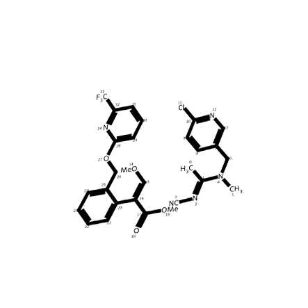 C/C(=N\C#N)N(C)Cc1ccc(Cl)nc1.CO/C=C(/C(=O)OC)c1ccccc1COc1cccc(C(F)(F)F)n1